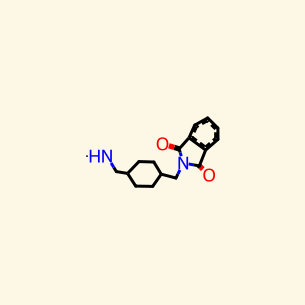 [NH]CC1CCC(CN2C(=O)c3ccccc3C2=O)CC1